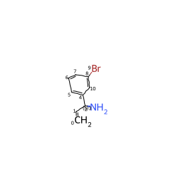 C=C[C@H](N)c1cccc(Br)c1